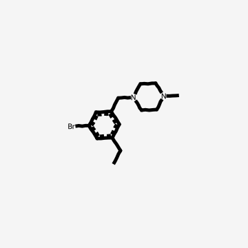 CCc1cc(Br)cc(CN2CCN(C)CC2)c1